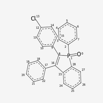 O=P1(c2ccccc2)C(c2ccc(Cl)cc2)=C(c2ccccc2)c2ccccc21